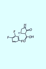 O=C(O)C1C(=O)NC[C@H]1c1c(F)ccc(F)c1F